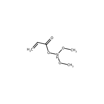 C=CC(=O)O[SiH](OC)OC